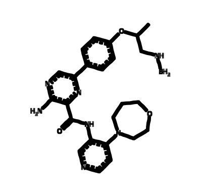 BNCC(C)Oc1ccc(-c2cnc(N)c(C(=O)Nc3cnccc3N3CCCOCC3)n2)cc1